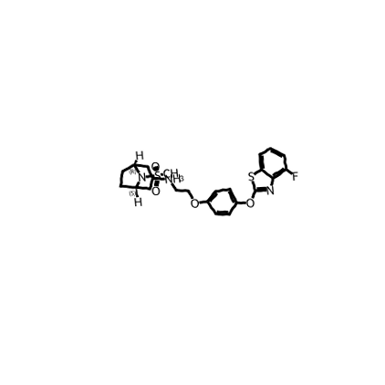 CS(=O)(=O)N1[C@@H]2CC[C@H]1CC(NCCOc1ccc(Oc3nc4c(F)cccc4s3)cc1)C2